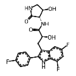 O=C1NC[C@@H](O)[C@@H]1NC(=O)[C@@H](O)Cc1c(-c2ccc(F)cc2)[nH]c2c(F)cc(F)cc12